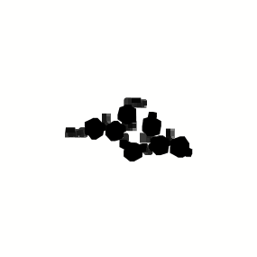 COc1ccc(Nc2ccc(OCc3cccc(COc4ccc(Nc5ccc(C)cc5)cc4Nc4ccc(C)cc4)c3)c(Nc3ccc(OC)cc3)c2)cc1